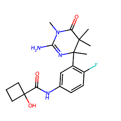 CN1C(=O)C(C)(C)C(C)(c2cc(NC(=O)C3(O)CCC3)ccc2F)N=C1N